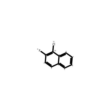 Fc1ccc2c[c]ccc2c1Cl